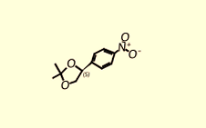 CC1(C)OC[C@H](c2ccc([N+](=O)[O-])cc2)O1